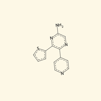 Nc1cnc(-c2ccncc2)c(-c2cccs2)n1